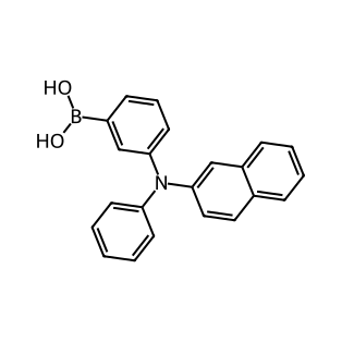 OB(O)c1cccc(N(c2ccccc2)c2ccc3ccccc3c2)c1